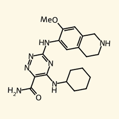 COc1cc2c(cc1Nc1nnc(C(N)=O)c(NC3CCCCC3)n1)CCNC2